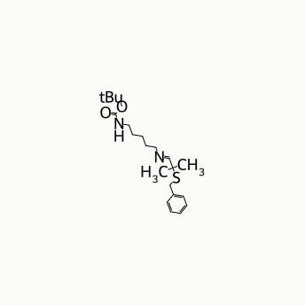 CC(C)(C)OC(=O)NCCCCCN=CC(C)(C)SCc1ccccc1